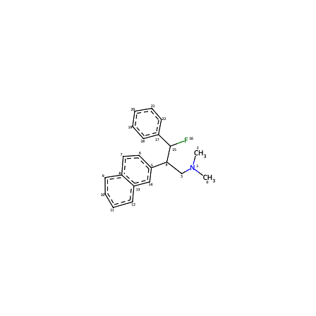 CN(C)CC(c1ccc2ccccc2c1)C(F)c1ccccc1